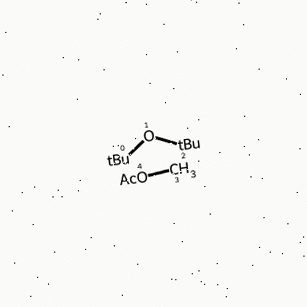 CC(C)(C)OC(C)(C)C.COC(C)=O